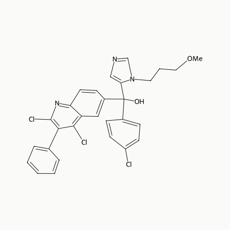 COCCCn1cncc1C(O)(c1ccc(Cl)cc1)c1ccc2nc(Cl)c(-c3ccccc3)c(Cl)c2c1